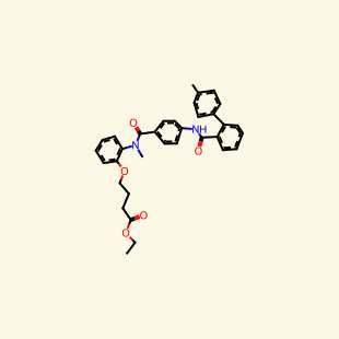 CCOC(=O)CCCOc1ccccc1N(C)C(=O)c1ccc(NC(=O)c2ccccc2-c2ccc(C)cc2)cc1